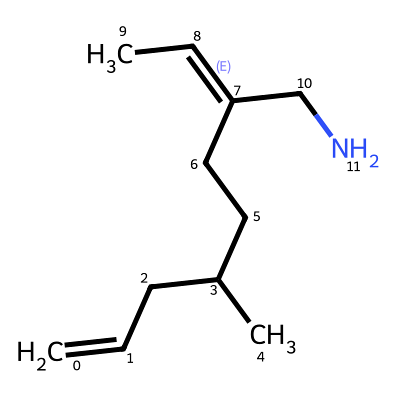 C=CCC(C)CC/C(=C\C)CN